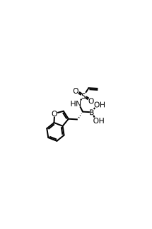 C=CS(=O)(=O)N[C@@H](Cc1coc2ccccc12)B(O)O